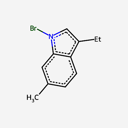 CCc1cn(Br)c2cc(C)ccc12